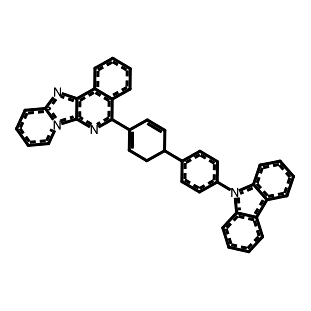 C1=CC(c2ccc(-n3c4ccccc4c4ccccc43)cc2)CC=C1c1nc2c(nc3ccccn32)c2ccccc12